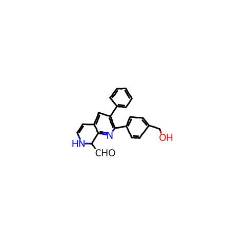 O=CC1NC=Cc2cc(-c3ccccc3)c(-c3ccc(CO)cc3)nc21